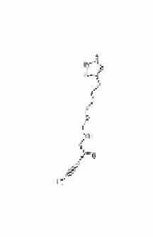 CC#CC(=O)CNCCOCCCc1c[nH]nn1